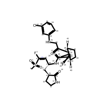 CS(=O)(=O)/C(F)=C\[C@@H](C[C@@H]1CCNC1=O)NC(=O)[C@H]1[C@H]2CC[C@H](CC2(F)F)N1C(=O)CNc1cccc(Cl)c1